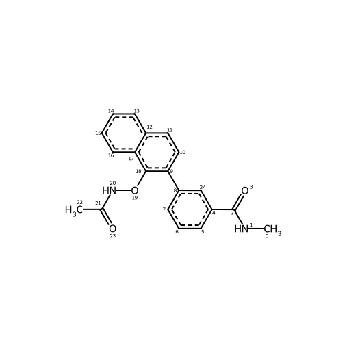 CNC(=O)c1cccc(-c2ccc3ccccc3c2ONC(C)=O)c1